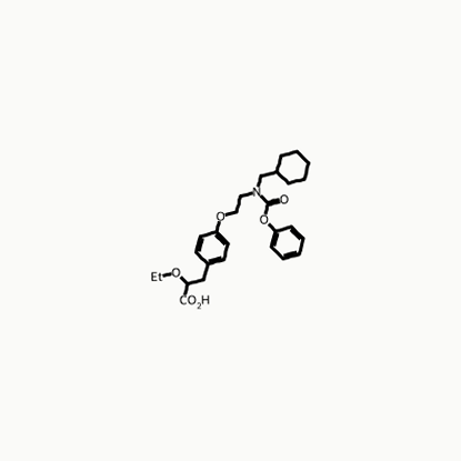 CCOC(Cc1ccc(OCCN(CC2CCCCC2)C(=O)Oc2ccccc2)cc1)C(=O)O